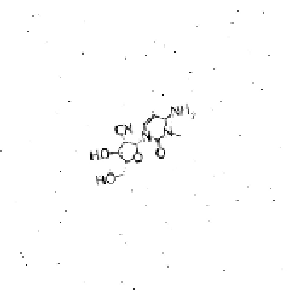 CN1C(=O)N([C@@H]2O[C@H](CO)[C@@H](O)[C@@H]2C#N)C=CC1N